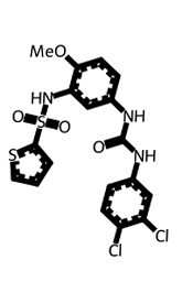 COc1ccc(NC(=O)Nc2ccc(Cl)c(Cl)c2)cc1NS(=O)(=O)c1cccs1